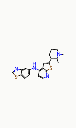 CC1C(c2cc3c(Nc4ccc5scnc5c4)ccnc3s2)CCCN1C